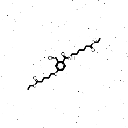 CCOC(=O)CCCCCNC(=O)c1ccc(OCCCCC(=O)OCC)cc1CCl